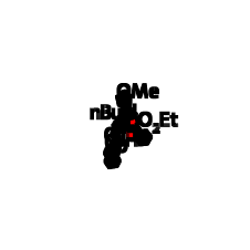 CCCCc1c(-c2ccc(C(=O)NS(=O)(=O)c3ccc4ccccc4c3)cc2C(=O)N2CCc3ccccc3C2)c(C(=O)OCC)nn1-c1ccc(OC)cc1